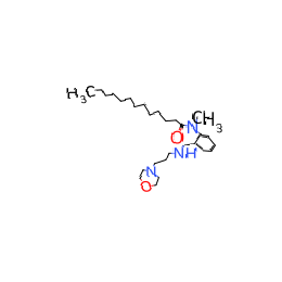 CCCCCCCCCCCCC(=O)N(C)c1ccccc1CNCCCN1CCOCC1